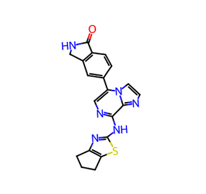 O=C1NCc2cc(-c3cnc(Nc4nc5c(s4)CCC5)c4nccn34)ccc21